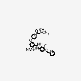 CNc1ccc(OC2CCN(C(=O)CN(C)C)CC2)cc1C(=N)Nc1ccc(OCc2ccccn2)c(Cl)c1